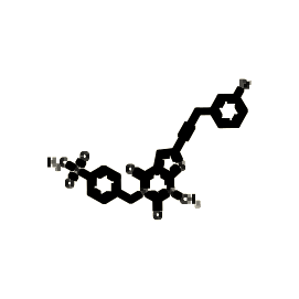 Cn1c(=O)n(Cc2ccc(S(C)(=O)=O)cc2)c(=O)c2cc(C#CCc3cccc(Br)c3)sc21